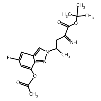 CC(=O)Oc1cc(F)cc2cn(C(C)CC(=N)C(=O)OC(C)(C)C)nc12